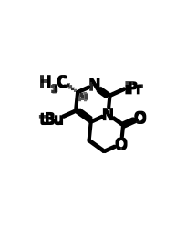 CC(C)C1=N[C@@H](C)C(C(C)(C)C)=C2CCOC(=O)N12